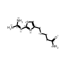 NC(=O)CCSCc1csc(N=C(N)N)n1